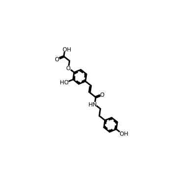 O=C(O)COc1ccc(/C=C/C(=O)NCCc2ccc(O)cc2)cc1O